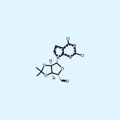 CC1(C)O[C@@H]2[C@H](O1)[C@@H](C=O)O[C@H]2n1ccc2c(Cl)nc(Cl)nc21